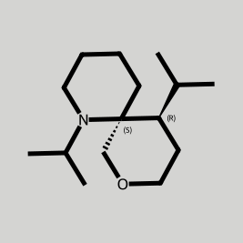 CC(C)[C@H]1CCOC[C@]12CCCCN2C(C)C